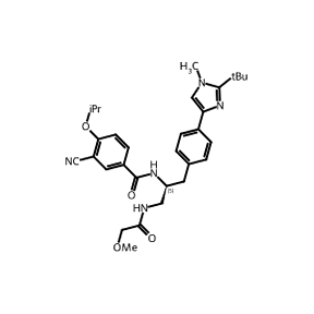 COCC(=O)NC[C@H](Cc1ccc(-c2cn(C)c(C(C)(C)C)n2)cc1)NC(=O)c1ccc(OC(C)C)c(C#N)c1